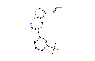 CC(=O)/C=C/c1c[nH]c2ncc(-c3cccc(C(C)(C)O)c3)cc12